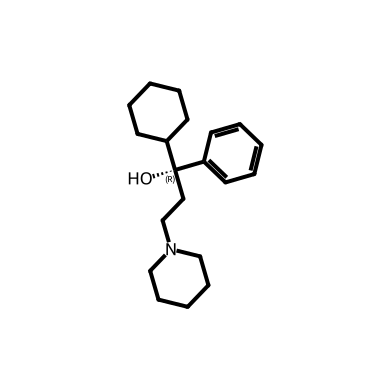 O[C@@](CCN1CCCCC1)(c1ccccc1)C1CCCCC1